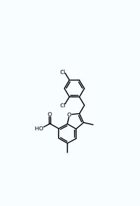 Cc1cc(C(=O)O)c2oc(Cc3ccc(Cl)cc3Cl)c(C)c2c1